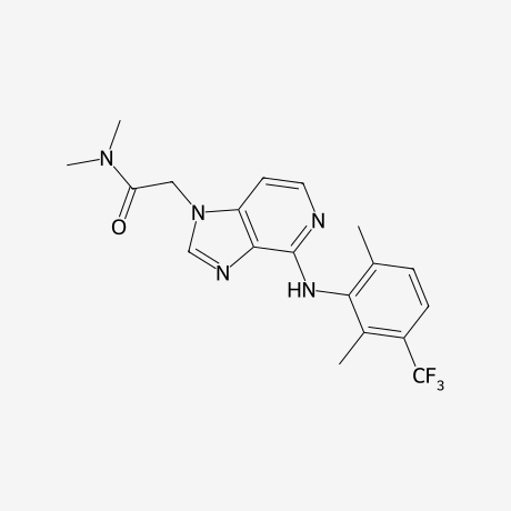 Cc1ccc(C(F)(F)F)c(C)c1Nc1nccc2c1ncn2CC(=O)N(C)C